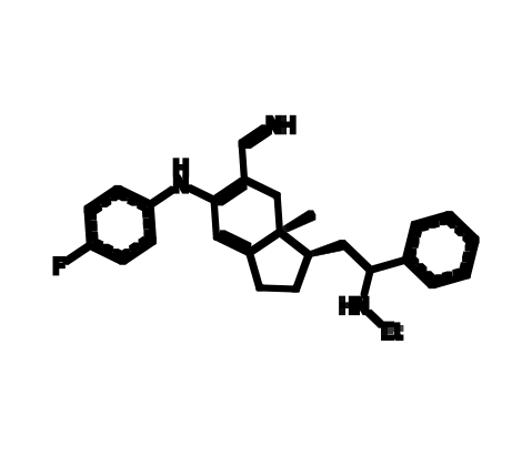 CCNC(C[C@H]1CCC2=CC(Nc3ccc(F)cc3)=C(C=N)C[C@@]21C)c1ccccc1